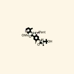 CCC[C@H](C)Oc1cc(-n2nc(C(C)(C)O)n(C)c2=O)c(F)cc1C(=O)Nc1c(C)ccnc1OC